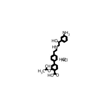 CC(C)Oc1cc(-c2ccc(CCNC[C@@H](O)c3cccc(N)c3)cc2)ccc1C(=O)O.Cl.Cl